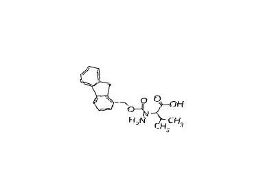 CC(C)[C@H](C(=O)O)N(N)C(=O)OCc1cccc2c1Cc1ccccc1-2